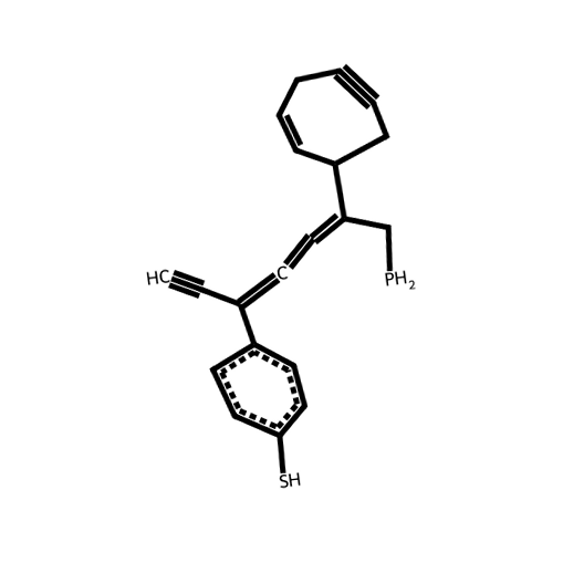 C#CC(=C=C=C(CP)C1C=CCC#CC1)c1ccc(S)cc1